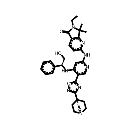 CCN1C(=O)c2ccc(Nc3cc(N[C@H](CO)c4ccccc4)c(-c4nc(C56CCN(CC5)CC6)no4)cn3)nc2C1(C)C